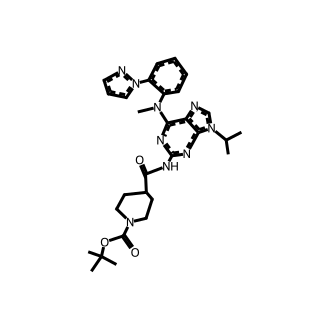 CC(C)n1cnc2c(N(C)c3ccccc3-n3cccn3)nc(NC(=O)C3CCN(C(=O)OC(C)(C)C)CC3)nc21